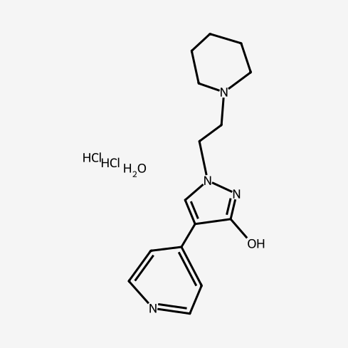 Cl.Cl.O.Oc1nn(CCN2CCCCC2)cc1-c1ccncc1